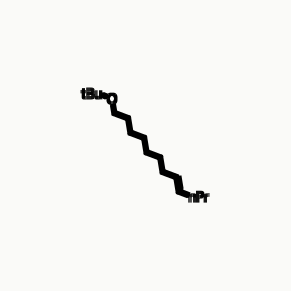 CCC/C=C/CCCCCCCOC(C)(C)C